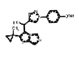 COc1ccc(-n2cc(C(O)c3c(C4(C)CC4)sc4cncn34)nn2)cc1